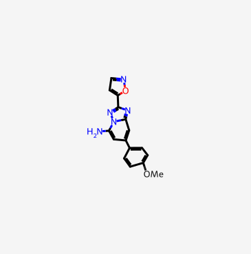 COc1ccc(-c2cc(N)n3nc(-c4ccno4)nc3c2)cc1